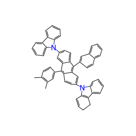 Cc1ccc(-c2c3ccc(-n4c5c(c6ccccc64)CCC=C5)cc3c(-c3ccc4ccccc4c3)c3ccc(-n4c5ccccc5c5ccccc54)cc23)cc1C